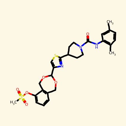 Cc1ccc(C)c(NC(=O)N2CCC(c3nc(C4OCc5cccc(OS(C)(=O)=O)c5CO4)cs3)CC2)c1